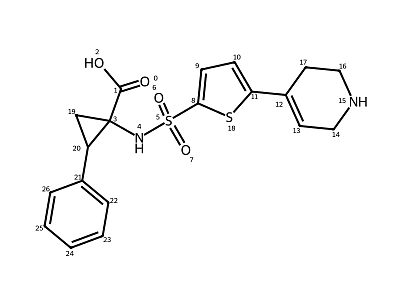 O=C(O)C1(NS(=O)(=O)c2ccc(C3=CCNCC3)s2)CC1c1ccccc1